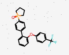 O=P1(c2ccc(-c3ccccc3Oc3ccc(C(F)(F)F)cc3)cc2)CCCC1